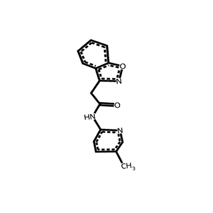 Cc1ccc(NC(=O)Cc2noc3ccccc23)nc1